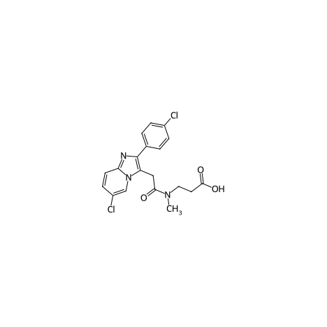 CN(CCC(=O)O)C(=O)Cc1c(-c2ccc(Cl)cc2)nc2ccc(Cl)cn12